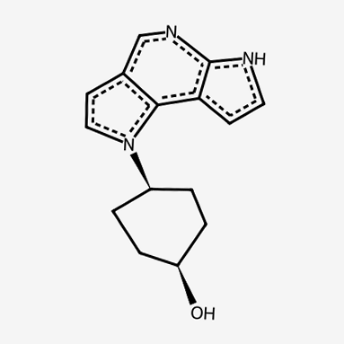 O[C@H]1CC[C@@H](n2ccc3cnc4[nH]ccc4c32)CC1